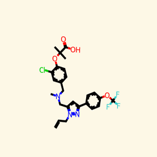 C=CCn1nc(-c2ccc(OC(F)(F)F)cc2)cc1CN(C)Cc1ccc(OC(C)(C)C(=O)O)c(Cl)c1